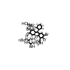 CCCCNC(=N)NC(=N)N.Cl.O=C([O-])c1ccccc1-c1c2cc(Br)c(=O)cc-2oc2[c]([Hg][OH])c([O-])c(Br)cc12.[Na+].[Na+]